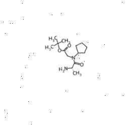 C[C@H](N)C(=O)N(CC(=O)OC(C)(C)C)C1CCCC1